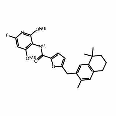 COc1cc(F)nc(OC)c1NC(=O)c1ccc(Cc2cc3c(cc2C)CCCC3(C)C)o1